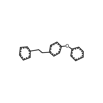 [CH](Cc1ccccc1)c1ccc(Oc2ccccc2)cc1